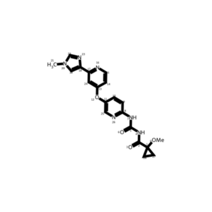 COC1(C(=O)NC(=O)Nc2ccc(Oc3ccnc(-c4cn(C)cn4)c3)cn2)CC1